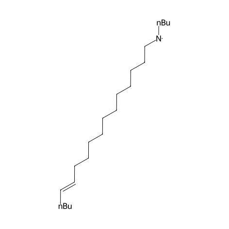 CCCC/C=C/CCCCCCCCCCC[N]CCCC